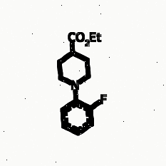 CCOC(=O)C1CCN(c2ccccc2F)CC1